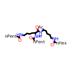 CCCCCCC(=O)NCCCCC(NC(=O)C(CCCCNC(=O)CCCCC)NC(=O)CCCCC)C(C)=O